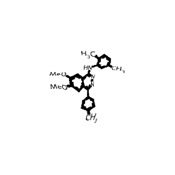 COc1cc2c(Nc3cc(C)ccc3C)nnc(-c3ccc(C)cc3)c2cc1OC